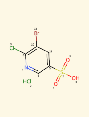 Cl.O=S(=O)(O)c1cnc(Cl)c(Br)c1